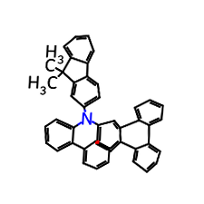 CC1(C)c2ccccc2-c2ccc(N(c3ccc4c5ccccc5c5ccccc5c4c3)c3ccccc3-c3ccccc3)cc21